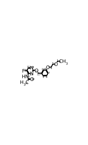 CCOCCOc1cccc(COc2ncc(F)c(NC(C)=O)n2)c1